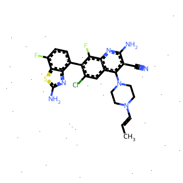 CC=CN1CCN(c2c(C#N)c(N)nc3c(F)c(-c4ccc(F)c5sc(N)nc45)c(Cl)cc23)CC1